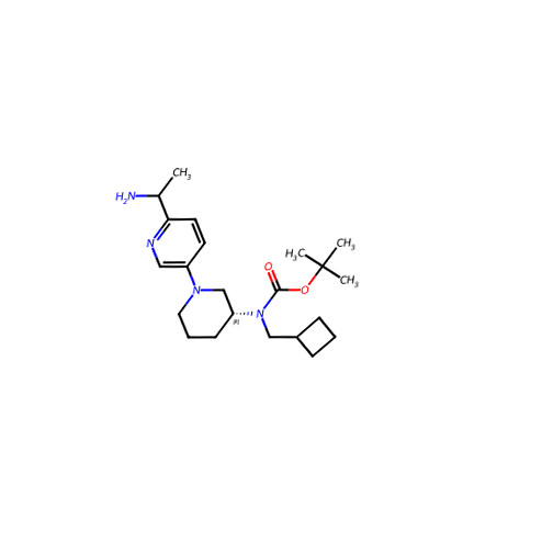 CC(N)c1ccc(N2CCC[C@@H](N(CC3CCC3)C(=O)OC(C)(C)C)C2)cn1